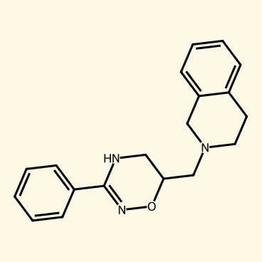 c1ccc(C2=NOC(CN3CCc4ccccc4C3)CN2)cc1